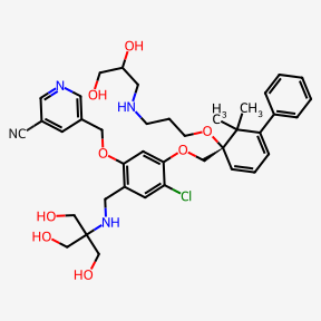 CC1(C)C(c2ccccc2)=CC=C[C@]1(COc1cc(OCc2cncc(C#N)c2)c(CNC(CO)(CO)CO)cc1Cl)OCCCNCC(O)CO